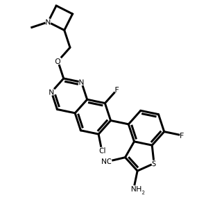 CN1CCC1COc1ncc2cc(Cl)c(-c3ccc(F)c4sc(N)c(C#N)c34)c(F)c2n1